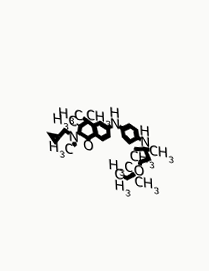 CCN(CC1CC1)C1C(=O)c2ccc(Nc3ccc(NC(C)(CC)CCOC(C)(C)CC)cc3)cc2C(C)(C)[C@H]1C